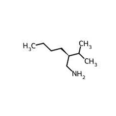 CCCC[C@H](CN)C(C)C